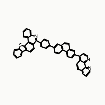 c1cnc2c(c1)ccc1c(-c3ccc4c(ccc5cc(-c6ccc(-c7nc8ccccc8c8c7ccc7c9ccccc9sc78)cc6)ccc54)c3)ccnc12